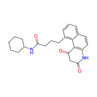 O=C1CC(=O)c2c(ccc3cccc(CCCC(=O)NC4CCCCC4)c23)N1